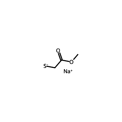 COC(=O)C[S-].[Na+]